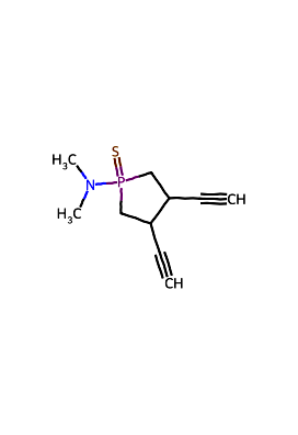 C#CC1CP(=S)(N(C)C)CC1C#C